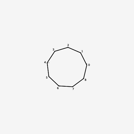 [CH]1CCC[CH]CCCC1